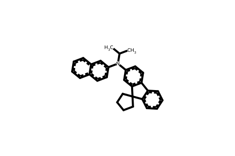 CC(C)N(c1ccc2c(c1)C1(CCCC1)c1ccccc1-2)c1ccc2ccccc2c1